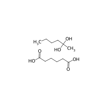 CCCCC(C)(O)O.O=C(O)CCCCC(=O)O